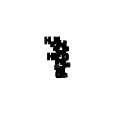 Nc1ccc2c(c1)NCC(CC1COC1)O2